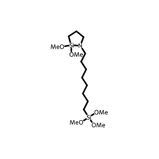 CO[Si](CCCCCCCCN1CCC[Si]1(OC)OC)(OC)OC